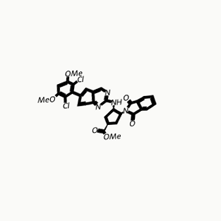 COC(=O)[C@H]1C[C@@H](Nc2ncc3cc(-c4c(Cl)c(OC)cc(OC)c4Cl)ccc3n2)[C@@H](N2C(=O)c3ccccc3C2=O)C1